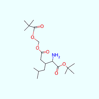 CC(C)CC(CC(=O)OCOC(=O)C(C)(C)C)C(N)C(=O)OC(C)(C)C